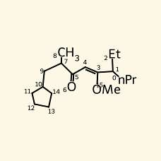 CCCC(CC)/C(=C/C(=O)C(C)CC1CCCC1)OC